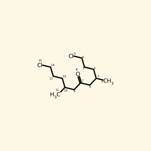 CC(CCCCl)CC(=O)CC(C)CCCCl